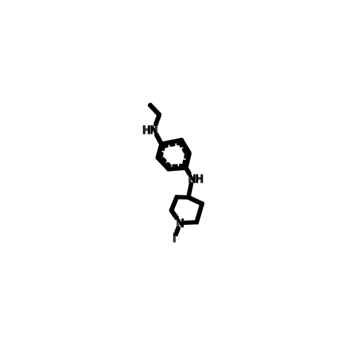 CCNc1ccc(NC2CCN(I)CC2)cc1